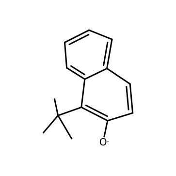 CC(C)(C)c1c([O])ccc2ccccc12